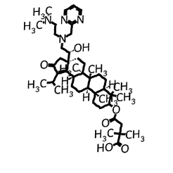 CC(C)C1=C2[C@H]3CC[C@@H]4[C@@]5(C)CCC(OC(=O)CC(C)(C)C(=O)O)C(C)(C)[C@@H]5CC[C@@]4(C)[C@]3(C)CC[C@@]2([C@@H](O)CN(CCN(C)C)Cc2ncccn2)CC1=O